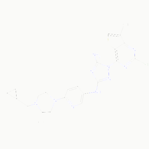 Cc1csc2c(-n3nc(Nc4ccc(N5CCN(CC6CC6)[C@@H](C)C5)nc4)nc3N)nc(Cl)nc12